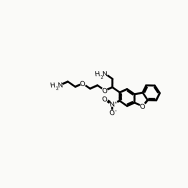 NCCOCCOC(CN)c1cc2c(cc1[N+](=O)[O-])oc1ccccc12